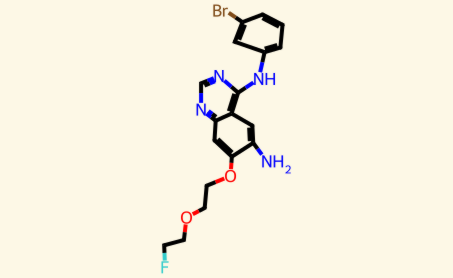 Nc1cc2c(Nc3cccc(Br)c3)ncnc2cc1OCCOCCF